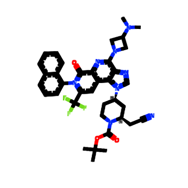 CN(C)C1CN(c2nc3c(=O)n(-c4cccc5ccccc45)c(C(F)(F)F)cc3c3c2ncn3[C@H]2CCN(C(=O)OC(C)(C)C)[C@H](CC#N)C2)C1